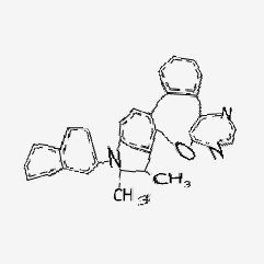 CC1c2c(ccc3c2Oc2nccnc2-c2ccccc2-3)N(c2ccc3ccccc3c2)C1C